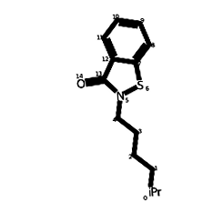 CC(C)CCCCn1sc2ccccc2c1=O